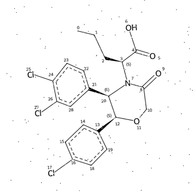 CCC[C@@H](C(=O)O)N1C(=O)CO[C@@H](c2ccc(Cl)cc2)[C@H]1c1ccc(Cl)c(Cl)c1